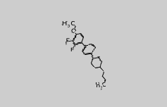 C=CCCC1CCC(c2ccc(-c3ccc(OCC)c(F)c3F)cc2)CC1